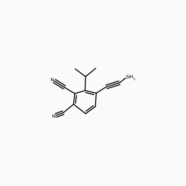 CC(C)c1c(C#C[SiH3])ccc(C#N)c1C#N